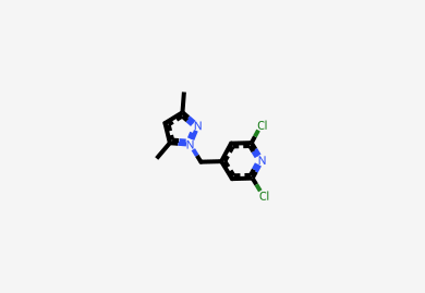 Cc1cc(C)n(Cc2cc(Cl)nc(Cl)c2)n1